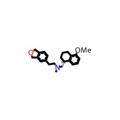 COc1cccc2c1CCC[C@H]2CN(C)CCc1ccc2c(c1)COC2